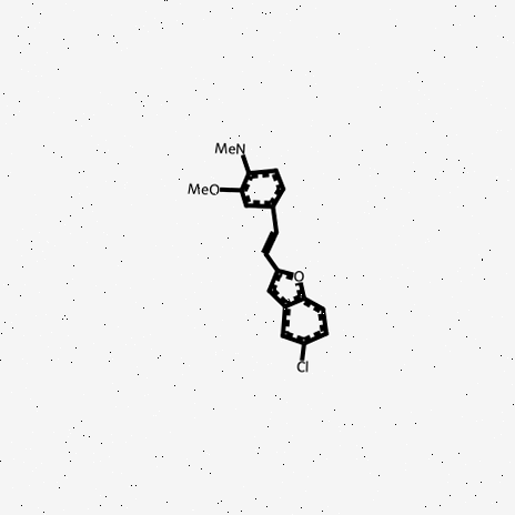 CNc1ccc(/C=C/c2cc3cc(Cl)ccc3o2)cc1OC